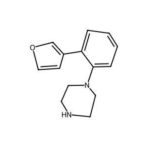 c1ccc(N2CCNCC2)c(-c2ccoc2)c1